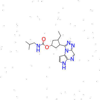 CCC1CC(OC(=O)NCC(C)C)CC1c1nnc2cnc3[nH]ccc3n12